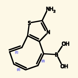 Nc1nc2c(s1)/C=C/C=C\C=C/2B(O)O